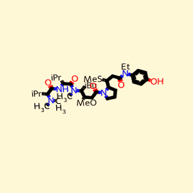 CCC(C)C(C(CC(=O)N1CCCC1C(CC(=O)N(CC)c1ccc(O)cc1)SC)OC)N(C)C(=O)C(NC(=O)C(C(C)C)N(C)C)C(C)C